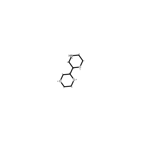 C1COC(C2COCCO2)CN1